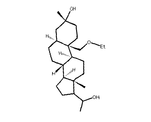 CCOC[C@]12CC[C@@](C)(O)C[C@@H]1CC[C@@H]1[C@@H]2CC[C@]2(C)C(C(C)O)CC[C@@H]12